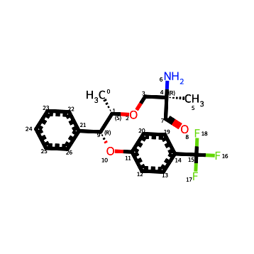 C[C@H](OC[C@@](C)(N)C=O)[C@H](Oc1ccc(C(F)(F)F)cc1)c1ccccc1